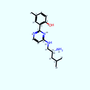 Cc1ccc(O)c(-c2nccc(NC[C@H](N)CC(C)C)n2)c1